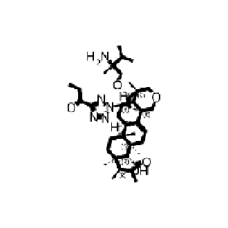 CCC(=O)c1nnn([C@@H]2C[C@@]34COC[C@](C)([C@@H]3CC[C@H]3C4=CC[C@@]4(C)[C@H](C(=O)O)[C@@](C)([C@H](C)C(C)C)CC[C@]34C)[C@H]2OC[C@](C)(N)C(C)C)n1